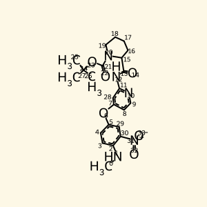 CNc1ccc(Oc2ccnc(NC(=O)C3CCCCN3C(=O)OC(C)(C)C)c2)cc1[N+](=O)[O-]